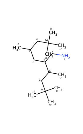 CC(CC(CN)C(C)CC(C)(C)C)CC(C)(C)C